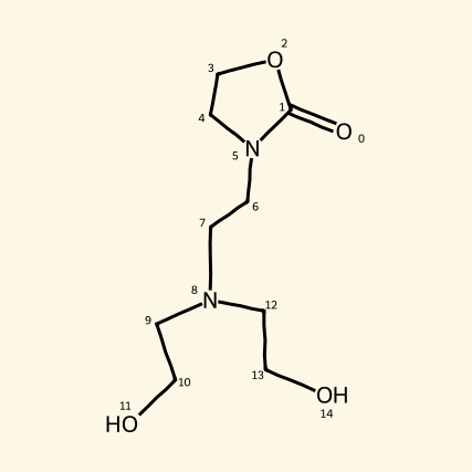 O=C1OCCN1CCN(CCO)CCO